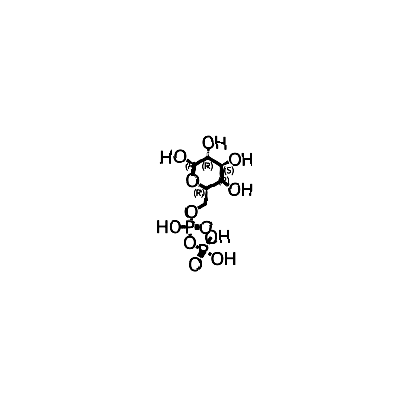 O=P(O)(O)OP(=O)(O)OC[C@H]1O[C@@H](O)[C@H](O)[C@@H](O)[C@H]1O